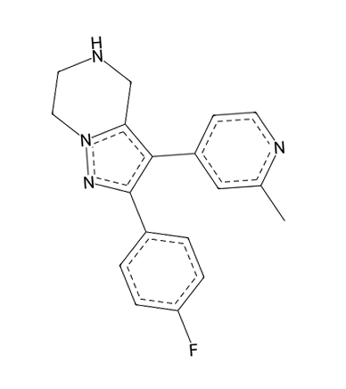 Cc1cc(-c2c(-c3ccc(F)cc3)nn3c2CNCC3)ccn1